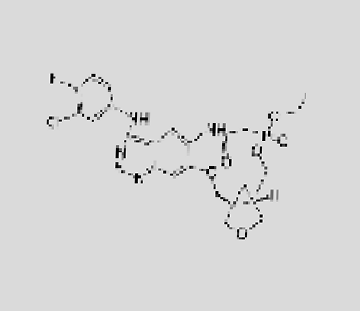 CCOP(=O)(CC(=O)Nc1cc2c(Nc3ccc(F)c(Cl)c3)ncnc2cc1OC[C@]12COC[C@H]1C2)OCC